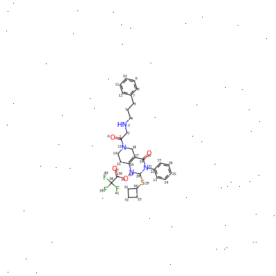 O=C(CNCCCc1ccccc1)N1CCC2=C(C1)C(=O)N(c1ccccc1)C(SC1CCC1)N2OC(=O)C(F)(F)F